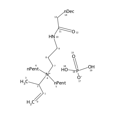 C=CC(C)[N+](CCCCC)(CCCCC)CCCNC(=O)CCCCCCCCCCC.O=P([O-])(O)O